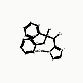 CCCCCCn1ccnc1C(CC)C(C)(Cc1ccccc1)c1ccccc1